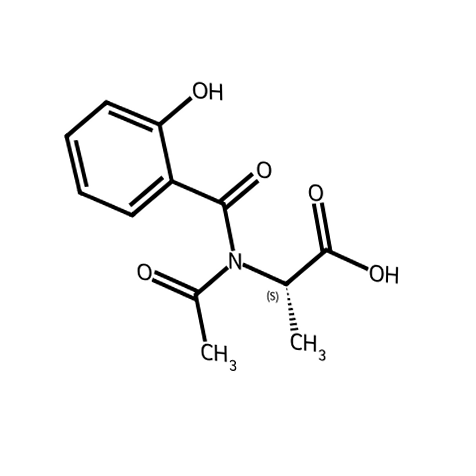 CC(=O)N(C(=O)c1ccccc1O)[C@@H](C)C(=O)O